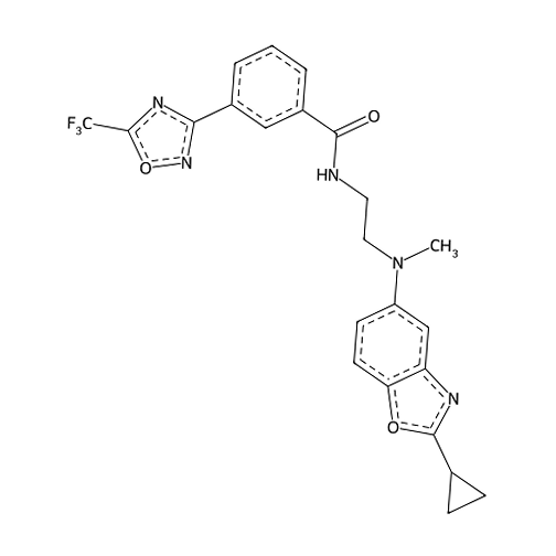 CN(CCNC(=O)c1cccc(-c2noc(C(F)(F)F)n2)c1)c1ccc2oc(C3CC3)nc2c1